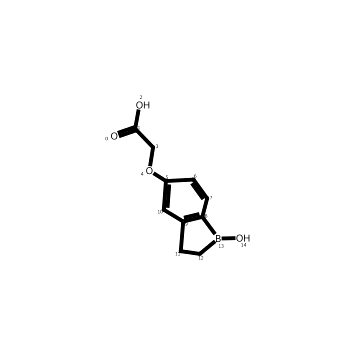 O=C(O)COc1ccc2c(c1)CCB2O